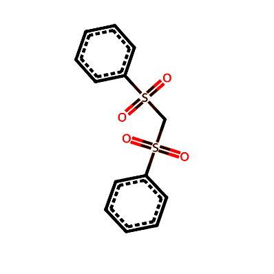 O=S(=O)(CS(=O)(=O)c1ccccc1)c1ccccc1